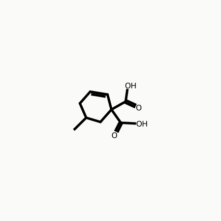 CC1CC=CC(C(=O)O)(C(=O)O)C1